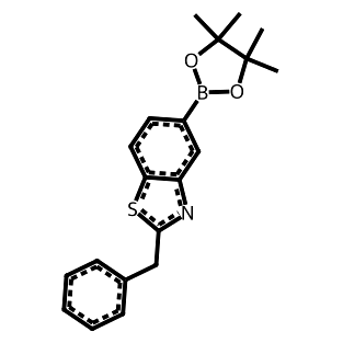 CC1(C)OB(c2ccc3sc(Cc4ccccc4)nc3c2)OC1(C)C